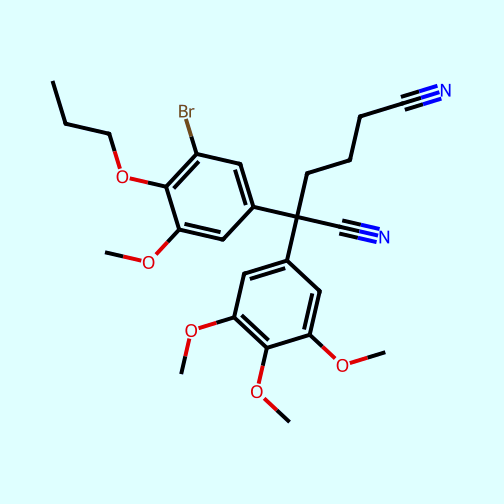 CCCOc1c(Br)cc(C(C#N)(CCCC#N)c2cc(OC)c(OC)c(OC)c2)cc1OC